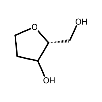 OC[C@H]1OCCC1O